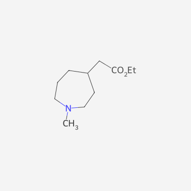 CCOC(=O)CC1CCCN(C)CC1